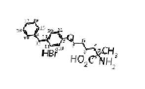 Br.C[C@](N)(CCCCOc1ccc(Cc2ccccc2)cc1)C(=O)O